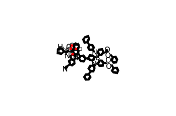 CC(C)(C)c1ccc2c3cc(-c4cc5c6c(c4)N(c4ccc(-c7ccccc7)cc4)c4ccc(C(=O)OCc7ccccc7)cc4B6c4cc(C(=O)OCc6ccccc6)ccc4N5c4ccc(-c5ccccc5)cc4)ccc3n(-c3ccc(C#N)cc3-c3nc(-c4ccccc4)nc(-c4ccccc4)n3)c2c1